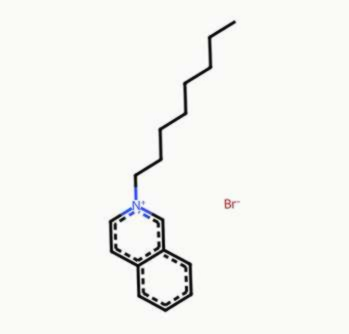 CCCCCCCC[n+]1ccc2ccccc2c1.[Br-]